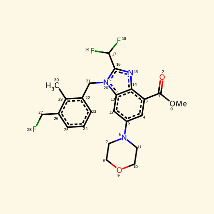 COC(=O)c1cc(N2CCOCC2)cc2c1nc(C(F)F)n2Cc1cccc(CF)c1C